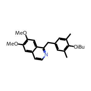 COc1cc2ccnc(Cc3cc(C)c(OCC(C)C)c(C)c3)c2cc1OC